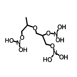 CC(CON(O)O)OCC(CON(O)O)ON(O)O